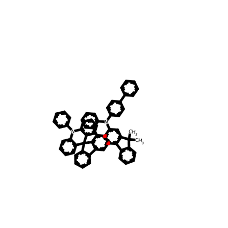 CC1(C)c2ccccc2-c2ccc(N(c3ccc(-c4ccccc4)cc3)c3ccccc3-c3cccc4c3C3(c5ccccc5-4)c4ccccc4N(c4ccccc4)c4ccccc43)cc21